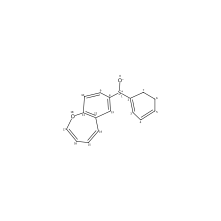 [O-][S+](C1=CC=CCC1)c1ccc2c(c1)C=CC=CO2